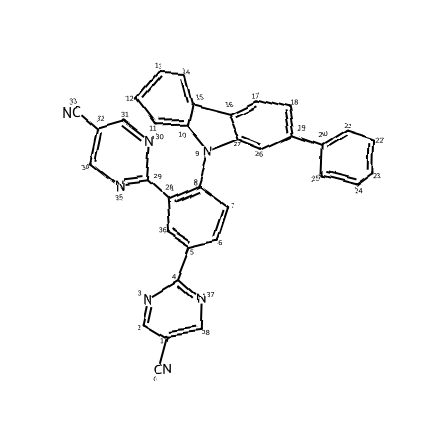 N#Cc1cnc(-c2ccc(-n3c4ccccc4c4ccc(-c5ccccc5)cc43)c(-c3ncc(C#N)cn3)c2)nc1